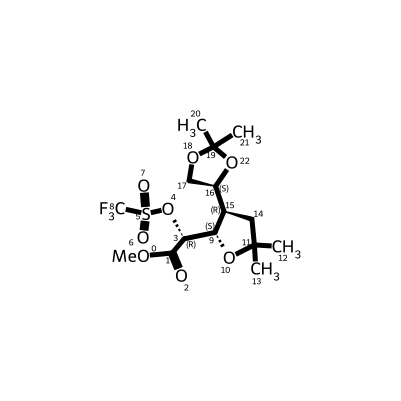 COC(=O)[C@H](OS(=O)(=O)C(F)(F)F)[C@H]1OC(C)(C)C[C@@H]1[C@H]1COC(C)(C)O1